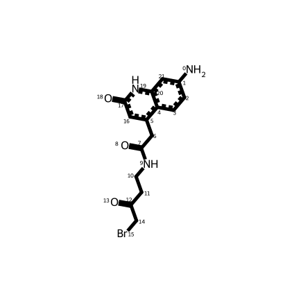 Nc1ccc2c(CC(=O)NCCC(=O)CBr)cc(=O)[nH]c2c1